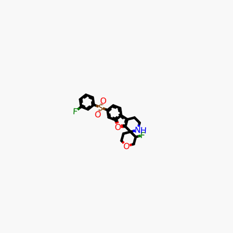 O=S(=O)(c1cccc(F)c1)c1ccc2c3c(oc2c1)C1(CCOCC1F)NCC3